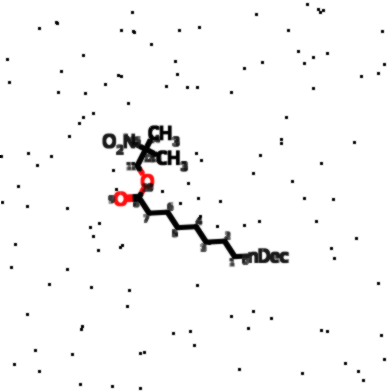 CCCCCCCCCCCCCCCCCC(=O)OCC(C)(C)[N+](=O)[O-]